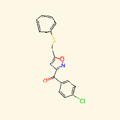 O=C(c1ccc(Cl)cc1)c1cc(CSc2ccccc2)on1